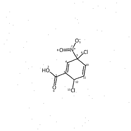 O=C(O)C1=CC(Cl)([N+](=O)[O-])C=CC1Cl